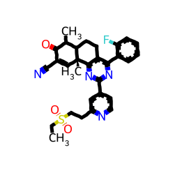 CCS(=O)(=O)CCc1cc(-c2nc(-c3ccccc3F)c3c(n2)[C@]2(C)C=C(C#N)C(=O)C(C)C2CC3)ccn1